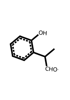 CC([C]=O)c1ccccc1O